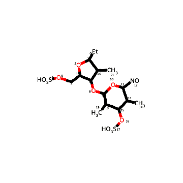 CCC1OC(COS(=O)(=O)O)C(OC2OC(N=O)C(C)C(OS(=O)(=O)O)C2C)C1C